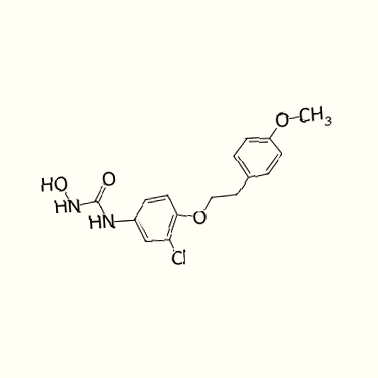 COc1ccc(CCOc2ccc(NC(=O)NO)cc2Cl)cc1